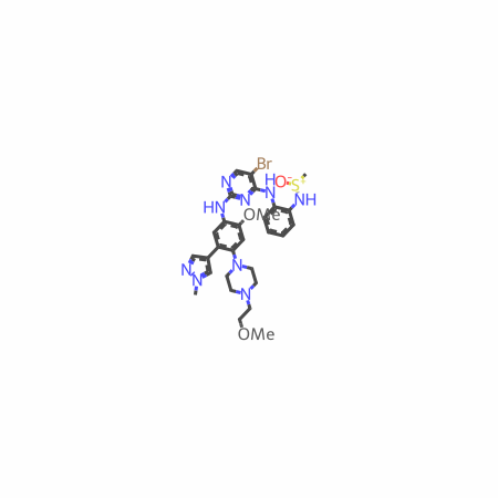 COCCN1CCN(c2cc(OC)c(Nc3ncc(Br)c(Nc4ccccc4N[S+](C)[O-])n3)cc2-c2cnn(C)c2)CC1